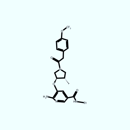 CCNC(=O)c1cnc(N)c(O[C@H]2CN(C(=O)Cc3ccc(OC(F)(F)F)cc3)C[C@@H]2C)c1